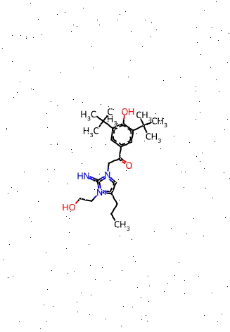 CCCc1cn(CC(=O)c2cc(C(C)(C)C)c(O)c(C(C)(C)C)c2)c(=N)n1CCO